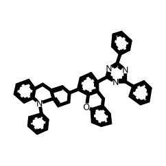 C1=C2Cc3ccccc3N(c3ccccc3)C2=CCC1c1ccc(-c2nc(-c3ccccc3)nc(-c3ccccc3)n2)c2c1Oc1ccccc1C2